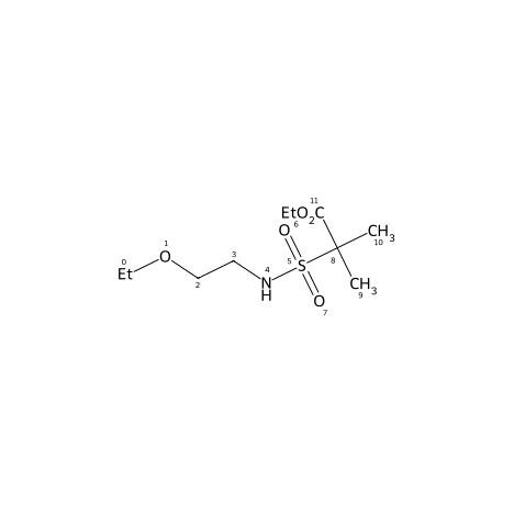 CCOCCNS(=O)(=O)C(C)(C)C(=O)OCC